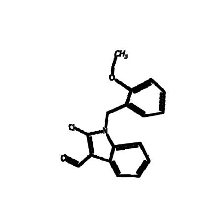 COc1ccccc1Cn1c(Cl)c(C=O)c2ccccc21